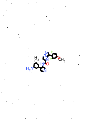 COc1cc(F)c(-c2cnn3ccc(C(=O)Nc4cnccc4C4CC(C)CC(N)C4)nc23)c(F)c1